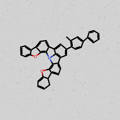 Cc1cc(-c2ccccc2)ccc1-c1cc2c3ccc4c(c3n3c2c(c1)c1ccc2c5ccccc5oc2c13)OC1=CC=CCC14